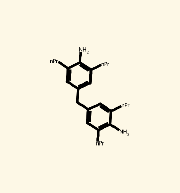 CCCc1cc(Cc2cc(CCC)c(N)c(CCC)c2)cc(CCC)c1N